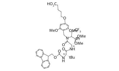 COc1cc(OCCCCC(=O)O)cc(OC)c1CN(C(=O)[C@H](CC(C)C)NC(=O)[C@@H](NC(=O)OCC1c2ccccc2-c2ccccc21)C(C)(C)C)C(CC(F)(F)F)C(OC)OC